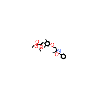 CCOC(=O)/C(=C/c1c(C)cc(OCCc2nc(-c3ccccc3)oc2C)cc1C)OCC